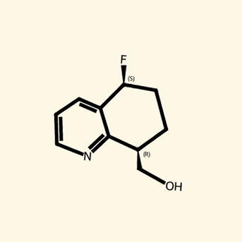 OC[C@@H]1CC[C@H](F)c2cccnc21